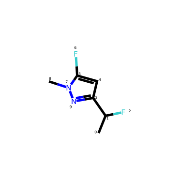 CC(F)c1cc(F)n(C)n1